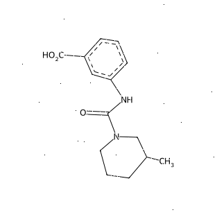 CC1CCCN(C(=O)Nc2cccc(C(=O)O)c2)C1